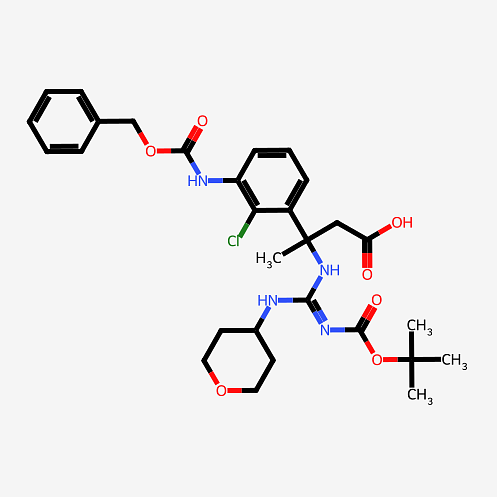 CC(C)(C)OC(=O)N=C(NC1CCOCC1)NC(C)(CC(=O)O)c1cccc(NC(=O)OCc2ccccc2)c1Cl